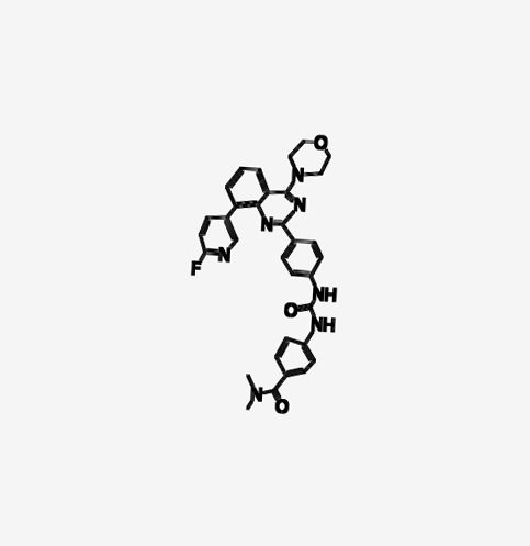 CN(C)C(=O)c1ccc(NC(=O)Nc2ccc(-c3nc(N4CCOCC4)c4cccc(-c5ccc(F)nc5)c4n3)cc2)cc1